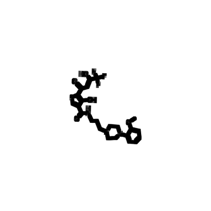 COc1ccccc1N1CCN(CCCNC(=O)c2csc(C(=O)/C=C(\O)C(F)(F)F)c2O)CC1